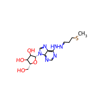 CSCC/C=N/Nc1ncnc2c1ncn2[C@@H]1O[C@H](CO)C(O)C1O